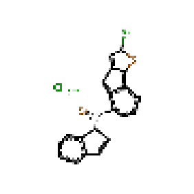 [Cl-].[Cl-].[S]=[Zr+2]([c]1cccc2c1=CC1=CC(Br)SC=21)[CH]1C=Cc2ccccc21